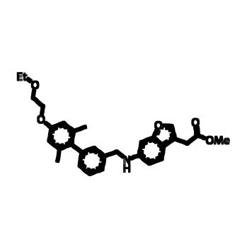 CCOCCOc1cc(C)c(-c2cccc(CNc3ccc4c(CC(=O)OC)coc4c3)c2)c(C)c1